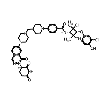 CC1(C)[C@H](NC(=O)c2ccc(N3CCC(CN4CCN(c5ccc6cnn([C@@H]7CCC(=O)NC7=O)c(=O)c6c5)CC4)CC3)cc2)C(C)(C)[C@H]1Oc1ccc(C#N)c(Cl)c1